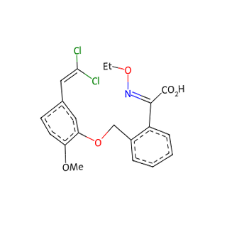 CCON=C(C(=O)O)c1ccccc1COc1cc(C=C(Cl)Cl)ccc1OC